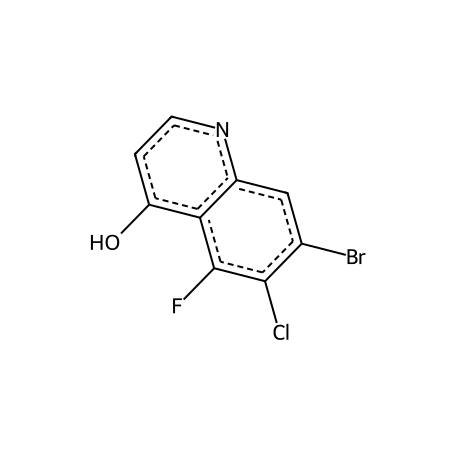 Oc1ccnc2cc(Br)c(Cl)c(F)c12